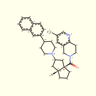 O=C(N1CCc2ncc(C(F)(F)F)cc2C1)[C@@]12CCC[C@@H]1CC(N1CCC(c3ccc4ccccc4c3)CC1)C2